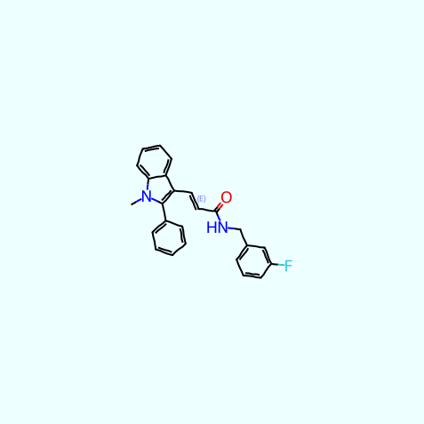 Cn1c(-c2ccccc2)c(/C=C/C(=O)NCc2cccc(F)c2)c2ccccc21